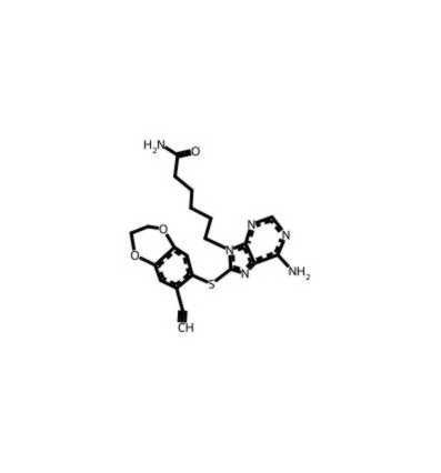 C#Cc1cc2c(cc1Sc1nc3c(N)ncnc3n1CCCCCC(N)=O)OCCO2